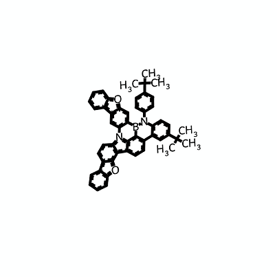 CC(C)(C)c1ccc(N2B3c4cc5oc6ccccc6c5cc4-n4c5ccc6c7ccccc7oc6c5c5ccc(c3c54)-c3cc(C(C)(C)C)ccc32)cc1